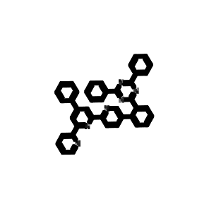 c1ccc(-c2cc(-c3ccccn3)nc(-c3ccc(-c4ccccc4-c4nc(-c5ccccc5)nc(-c5ccccc5)n4)cn3)c2)cc1